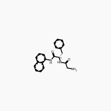 NCC(=O)N[C@@H](Cc1ccccc1)C(=O)Nc1cccc2ccccc12